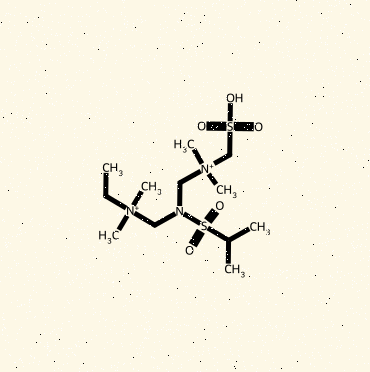 CC[N+](C)(C)CN(C[N+](C)(C)CS(=O)(=O)O)S(=O)(=O)C(C)C